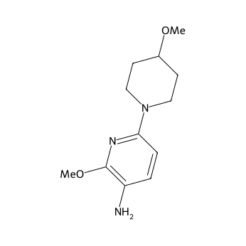 COc1nc(N2CCC(OC)CC2)ccc1N